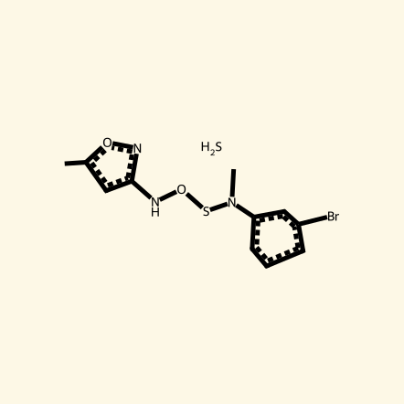 Cc1cc(NOSN(C)c2cccc(Br)c2)no1.S